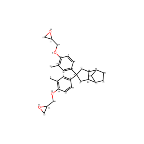 Cc1cc(C2(c3ccc(OCC4CO4)c(C)c3)CC3C4CCC(C4)C3C2)ccc1OCC1CO1